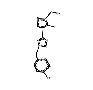 CC(C)Cn1ncc(-c2nnn(Cc3ccc(C#N)cc3)n2)c1I